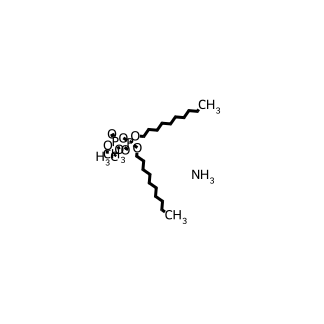 CCCCCCCCCCOP(=O)(OCCCCCCCCCC)OP(=O)(OC)OC.N